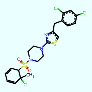 CC1(Cl)C=CC=CC1S(=O)(=O)N1CCN(c2nc(Cc3ccc(Cl)cc3Cl)cs2)CC1